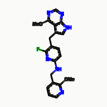 COc1ncccc1CNc1ccc(Cc2c[nH]c3ncnc(OC)c23)c(F)n1